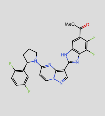 COC(=O)c1cc2[nH]c(-c3cnn4ccc(N5CCC[C@@H]5c5cc(F)ccc5F)nc34)nc2c(F)c1F